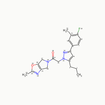 CCCc1cc(-c2ccc(F)c(C)c2)nn1CC(=O)N1Cc2nc(C)oc2C1